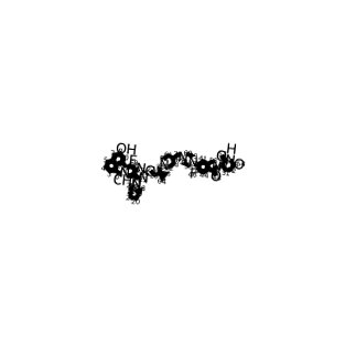 CCc1cccc2cc(O)cc(-c3ncc4c(N5CC6CCC(C5)N6)nc(OCC5(CN6CCC(CN7CCN(c8cc9c(cc8F)C(=O)N([C@H]8CCC(=O)NC8=O)C9)CC7)CC6)CC5)nc4c3F)c12